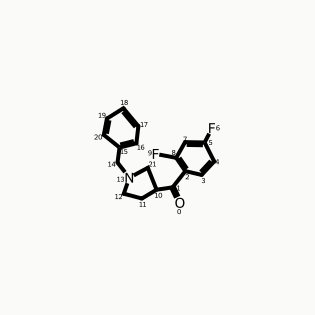 O=C(c1ccc(F)cc1F)C1CCN(Cc2ccccc2)C1